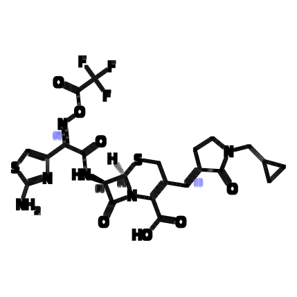 Nc1nc(/C(=N/OC(=O)C(F)(F)F)C(=O)N[C@@H]2C(=O)N3C(C(=O)O)=C(/C=C4\CCN(CC5CC5)C4=O)CS[C@H]23)cs1